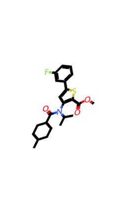 COC(=O)c1sc(-c2cccc(F)c2)cc1N(C(=O)C1CCC(C)CC1)C(C)C